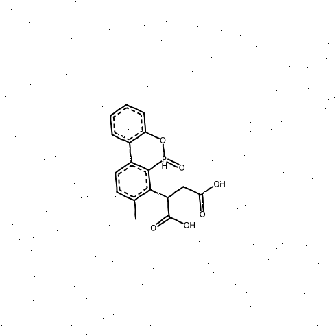 Cc1ccc2c(c1C(CC(=O)O)C(=O)O)[PH](=O)Oc1ccccc1-2